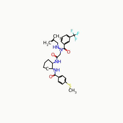 C=C(C)CNN(CC(=O)N[C@@H]1CCCC[C@@H]1NC(=O)c1ccc(SC)cc1)C(=O)c1cccc(C(F)(F)F)c1